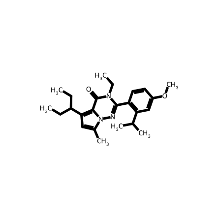 CCC(CC)c1cc(C)n2nc(-c3ccc(OC)cc3C(C)C)n(CC)c(=O)c12